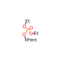 CCCCCOP(=O)(OCC)OCC